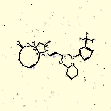 C[C@@H]1C[C@@H]2OC(=O)CCC/C=C\C[C@@H]2[C@H]1/C=C/[C@H](COc1cccc(C(F)(F)F)c1)OC1CCCCO1